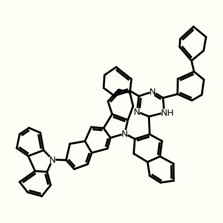 C1=CCCC(C2=CC(C3=NC(C4=CCCC=C4)=NC(C4=C(n5c6c(c7c5=CC5=CC=C(n8c9ccccc9c9ccccc98)CC5C=7)C=CCC6)CC5C=CC=CC5=C4)N3)=CCC2)=C1